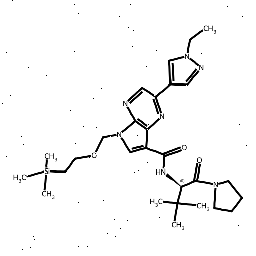 CCn1cc(-c2cnc3c(n2)c(C(=O)N[C@@H](C(=O)N2CCCC2)C(C)(C)C)cn3COCC[Si](C)(C)C)cn1